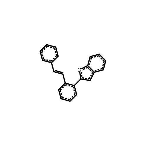 C(=Cc1ccccc1-c1cc2ccccc2o1)c1ccccc1